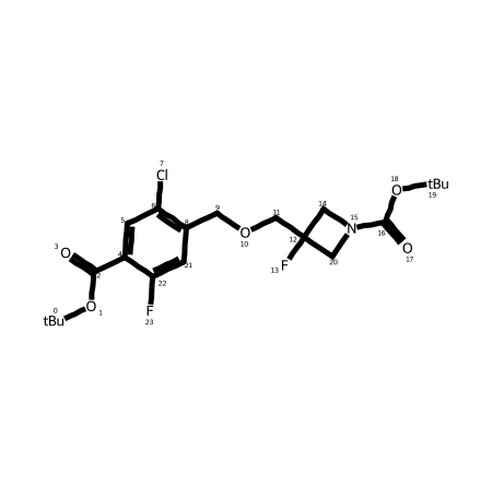 CC(C)(C)OC(=O)c1cc(Cl)c(COCC2(F)CN(C(=O)OC(C)(C)C)C2)cc1F